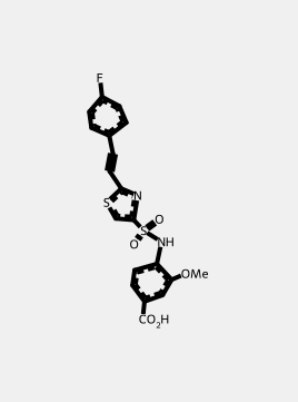 COc1cc(C(=O)O)ccc1NS(=O)(=O)c1csc(C#Cc2ccc(F)cc2)n1